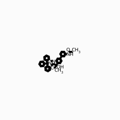 CCC(=O)Nc1cccc(-c2ccc(C(O)(c3cn(C(c4ccccc4)(c4ccccc4)c4ccccc4)cn3)C(C)C)cc2)c1